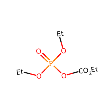 CCOC(=O)OP(=O)(OCC)OCC